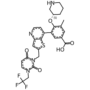 Cc1cc(C(=O)O)cc(-c2ccnc3cc(Cn4c(=O)ccn(CC(F)(F)F)c4=O)sc23)c1O[C@H]1CCCNC1